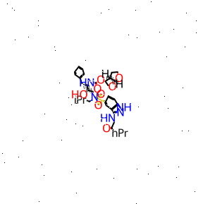 CCCC(=O)CNc1n[nH]c2ccc(S(=O)(=O)N(CC(C)C)C[C@@H](O)[C@H](Cc3ccccc3)NC(=O)OC3CO[C@H]4OCC[C@@H]34)cc12